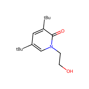 CC(C)(C)c1cc(C(C)(C)C)c(=O)n(CCO)c1